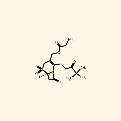 CC(C)(C)C(=O)COC1=C(COC(=O)CN)CS(=O)(=O)[C@@H]2CC(=O)N12